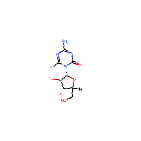 [2H]c1nc(N)nc(=O)n1[C@@H]1O[C@]([2H])(CO)[C@H](O)C1O